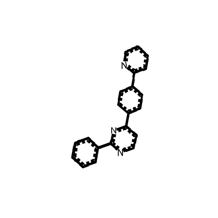 c1ccc(-c2nccc(-c3ccc(-c4ccccn4)cc3)n2)cc1